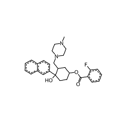 CN1CCN(CC2CC(OC(=O)c3ccccc3F)CCC2(O)c2ccc3ccccc3c2)CC1